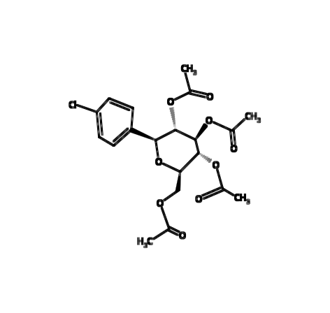 CC(=O)OC[C@H]1O[C@@H](c2ccc(Cl)cc2)[C@H](OC(C)=O)[C@@H](OC(C)=O)[C@@H]1OC(C)=O